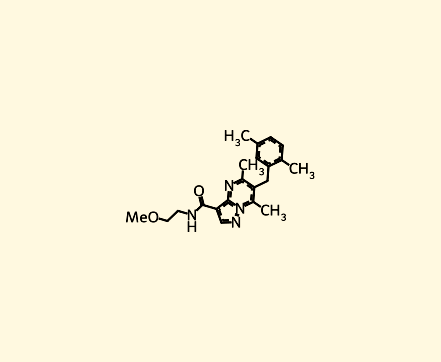 COCCNC(=O)c1cnn2c(C)c(Cc3cc(C)ccc3C)c(C)nc12